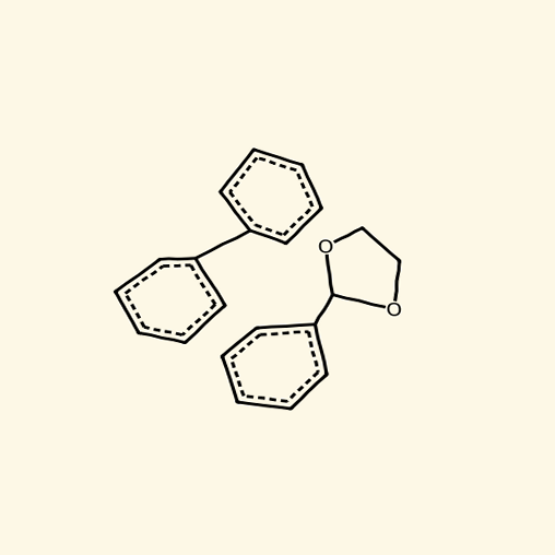 c1ccc(-c2ccccc2)cc1.c1ccc(C2OCCO2)cc1